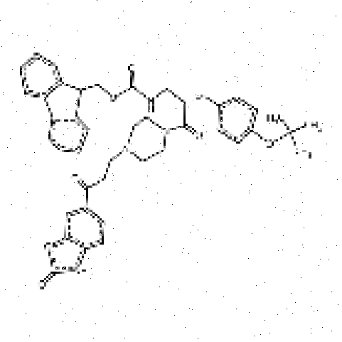 CC(C)(C)Oc1ccc(C[C@@H](CNC(=O)OCC2c3ccccc3-c3ccccc32)C(=O)N2CCN(CCC(=O)c3ccc4[nH]c(=O)oc4c3)CC2)cc1